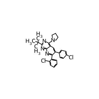 CC(C)(C)c1nc(N2CCCC2)c2cc(-c3ccc(Cl)cc3)c(-c3ccccc3Cl)nc2n1